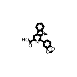 Cn1c2ccccc2c2cc(C(=O)O)nc(-c3ccc4c(c3)OCO4)c21